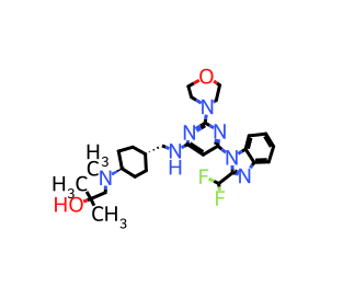 CN(CC(C)(C)O)[C@H]1CC[C@H](CNc2cc(-n3c(C(F)F)nc4ccccc43)nc(N3CCOCC3)n2)CC1